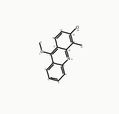 COc1c2ccccc2nc2c(C)c(Cl)ccc12